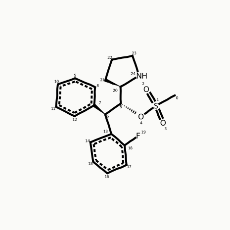 CS(=O)(=O)O[C@H]([C@H](c1ccccc1)c1ccccc1F)[C@H]1CCCN1